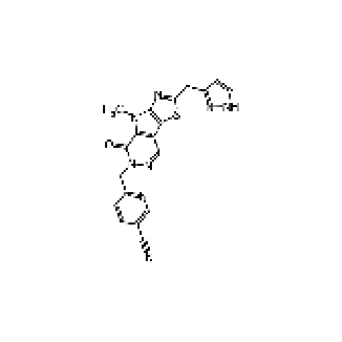 Cn1c2nc(Cc3cc[nH]n3)sc2c2cnn(Cc3ccc(C#N)cn3)c(=O)c21